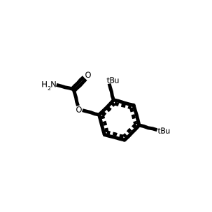 CC(C)(C)c1ccc(OC(N)=O)c(C(C)(C)C)c1